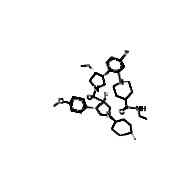 CCNC(=O)C1CCN(c2cc(F)ccc2[C@H]2CN(C(=O)[C@]3(F)CN([C@H]4CC[C@H](C)CC4)C[C@H]3c3ccc(OC)cc3)C[C@@H]2CC)CC1